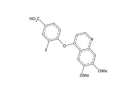 COc1cc2nccc(Oc3ccc(C(=O)O)cc3F)c2cc1OC